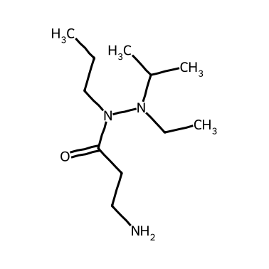 CCCN(C(=O)CCN)N(CC)C(C)C